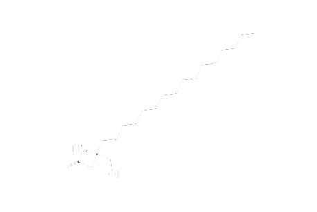 CCCCCCCCCCCCCCCCC1(CO)CC(=O)N1